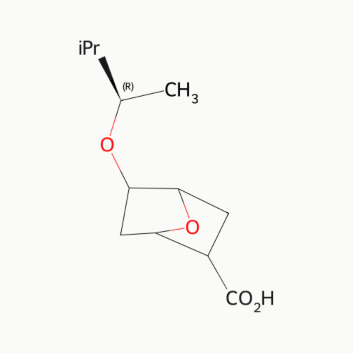 CC(C)[C@@H](C)OC1CC2OC1CC2C(=O)O